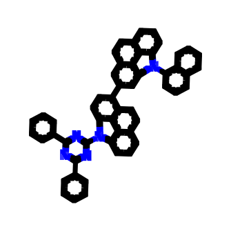 c1ccc(-c2nc(-c3ccccc3)nc(-n3c4cccc5ccc6c(-c7cc8ccc9cccc%10c9c8c(c7)n%10-c7cccc8ccccc78)ccc3c6c54)n2)cc1